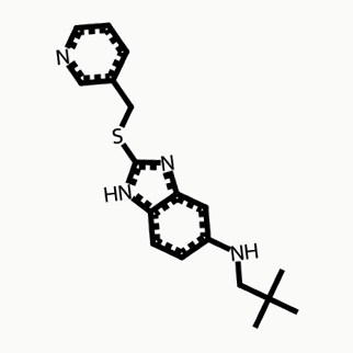 CC(C)(C)CNc1ccc2[nH]c(SCc3cccnc3)nc2c1